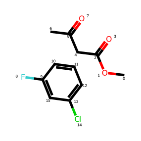 COC(=O)CC(C)=O.Fc1cccc(Cl)c1